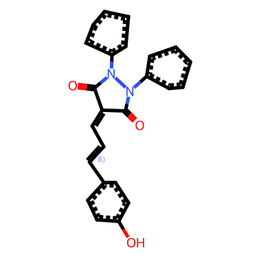 O=C1C(=C/C=C/c2ccc(O)cc2)C(=O)N(c2ccccc2)N1c1ccccc1